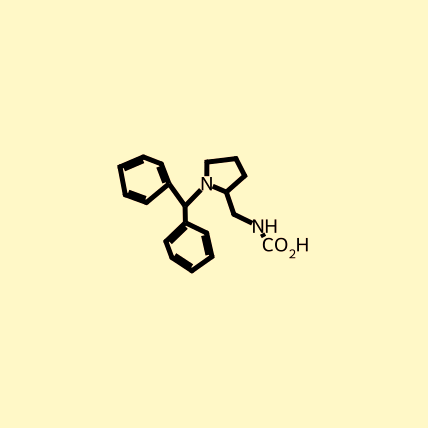 O=C(O)NCC1CCCN1C(c1ccccc1)c1ccccc1